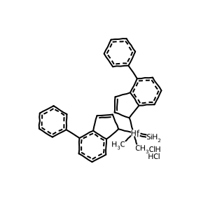 Cl.Cl.[CH3][Hf]([CH3])(=[SiH2])([CH]1C=Cc2c(-c3ccccc3)cccc21)[CH]1C=Cc2c(-c3ccccc3)cccc21